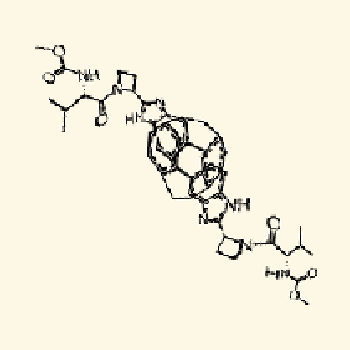 COC(=O)N[C@H](C(=O)N1CC[C@H]1c1nc2cc(-c3cc4ccc3CCc3ccc(c(-c5ccc6[nH]c([C@@H]7CCN7C(=O)[C@@H](NC(=O)OC)C(C)C)nc6c5)c3)CC4)ccc2[nH]1)C(C)C